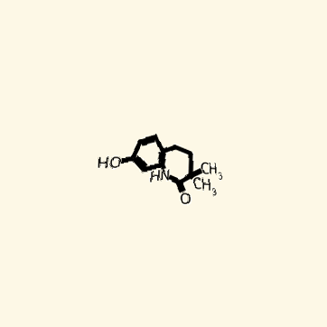 CC1(C)CCc2ccc(O)cc2NC1=O